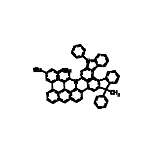 CC(C)(C)c1cc(-c2cccc3cccc(-c4ccccc4N(c4ccc5c6ccccc6n(-c6ccccc6)c5c4)c4ccccc4-c4ccc5c(c4)C(C)(c4ccccc4)c4ccccc4-5)c23)cc(C(C)(C)C)c1